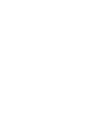 CCC=C(C)C(Cl)Cl